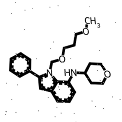 COCCCOCn1c(-c2ccccc2)cc2cccc(NC3CCOCC3)c21